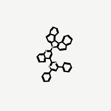 c1ccc(-c2cc(-c3ccccc3)nc(-c3cc(-n4c5ccc6ccccc6c5c5c6ccccc6ccc54)nc4ccccc34)n2)cc1